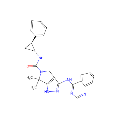 CC1(C)c2[nH]nc(Nc3ncnc4ccccc34)c2CN1C(=O)N[C@@H]1C[C@H]1c1ccccc1